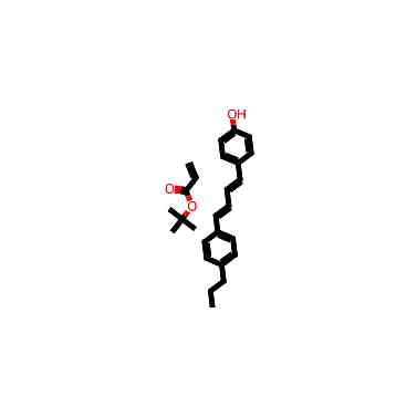 C=CC(=O)OC(C)(C)C.CCCc1ccc(C=CC=Cc2ccc(O)cc2)cc1